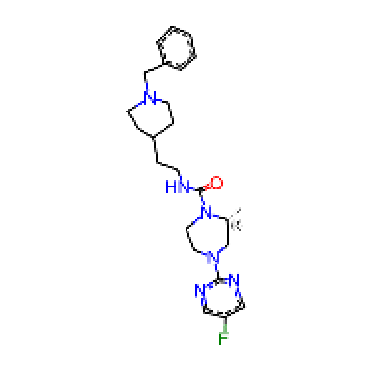 C[C@@H]1CN(c2ncc(F)cn2)CCN1C(=O)NCCC1CCN(Cc2ccccc2)CC1